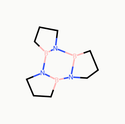 C1CB2N(C1)B1CCCN1B1CCCN21